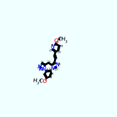 COc1ccc2c(c1)-n1nncc1Cc1c(C#Cc3ccc(OC)nc3)ncn1-2